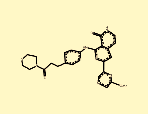 COc1cncc(-c2cc3cc[nH]c(=O)c3c(Nc3ccc(CCC(=O)N4CCOCC4)cc3)n2)n1